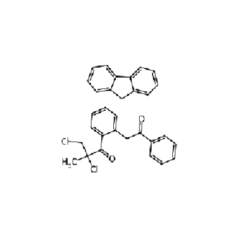 CC(Cl)(CCl)C(=O)c1ccccc1CC(=O)c1ccccc1.c1ccc2c(c1)Cc1ccccc1-2